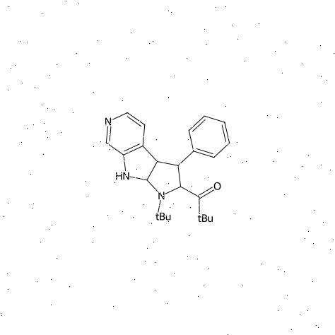 CC(C)(C)C(=O)C1C(c2ccccc2)C2c3ccncc3NC2N1C(C)(C)C